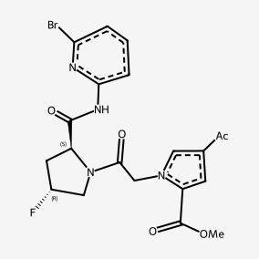 COC(=O)c1cc(C(C)=O)cn1CC(=O)N1C[C@H](F)C[C@H]1C(=O)Nc1cccc(Br)n1